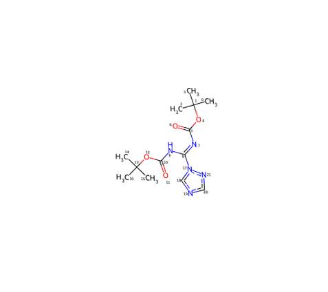 CC(C)(C)OC(=O)/N=C(\NC(=O)OC(C)(C)C)n1cncn1